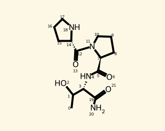 CC(O)[C@H](NC(=O)[C@@H]1CCCN1C(=O)[C@@H]1CCCN1)C(N)=O